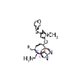 Cn1nc(SN2CCOC2)cc1OC1C=C\C(CF)=C/C=C(C2=N\C=C(\CCN)CC/C=N\2)\C1